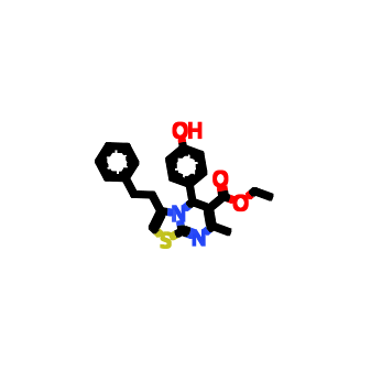 CCOC(=O)C1=C(C)N=C2SC=C(CCc3ccccc3)N2C1c1ccc(O)cc1